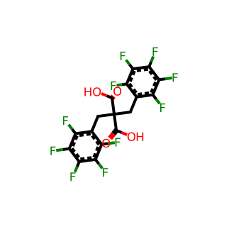 O=C(O)C(Cc1c(F)c(F)c(F)c(F)c1F)(Cc1c(F)c(F)c(F)c(F)c1F)C(=O)O